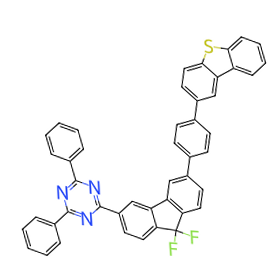 FC1(F)c2ccc(-c3ccc(-c4ccc5sc6ccccc6c5c4)cc3)cc2-c2cc(-c3nc(-c4ccccc4)nc(-c4ccccc4)n3)ccc21